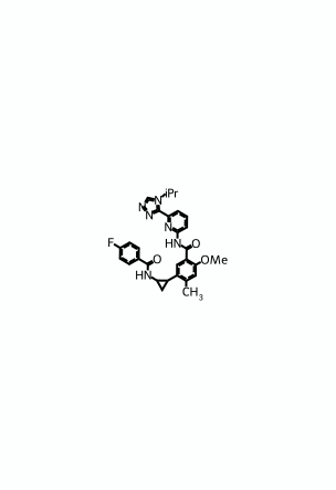 COc1cc(C)c(C2CC2NC(=O)c2ccc(F)cc2)cc1C(=O)Nc1cccc(-c2nncn2C(C)C)n1